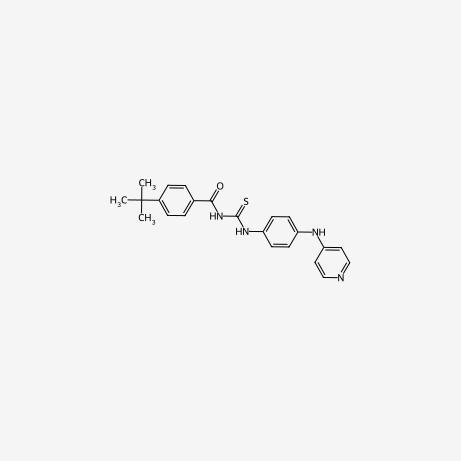 CC(C)(C)c1ccc(C(=O)NC(=S)Nc2ccc(Nc3ccncc3)cc2)cc1